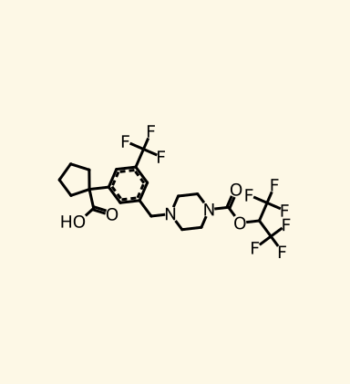 O=C(OC(C(F)(F)F)C(F)(F)F)N1CCN(Cc2cc(C(F)(F)F)cc(C3(C(=O)O)CCCC3)c2)CC1